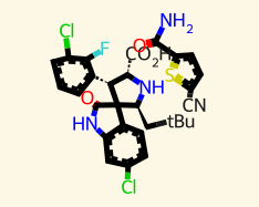 CC(C)(C)C[C@@H]1N[C@@H](C(=O)O)[C@@H](c2cccc(Cl)c2F)C12C(=O)Nc1cc(Cl)ccc12.N#Cc1ccc(C(N)=O)s1